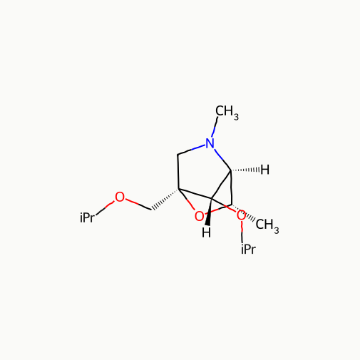 CC(C)OC[C@@]12CN(C)[C@@H]([C@H](C)O1)[C@@H]2OC(C)C